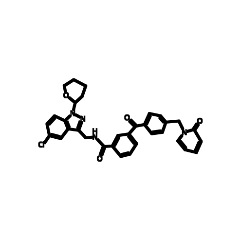 O=C(NCc1nn(C2CCCCO2)c2ccc(Cl)cc12)c1cccc(C(=O)c2ccc(Cn3ccccc3=O)cc2)c1